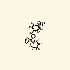 CC1CCN(C(=O)OCc2ccc(O)cc2)CC1